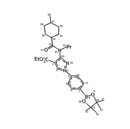 CCOC(=O)c1cn(-c2ccc(B3OC(C)(C)C(C)(C)O3)cc2)nc1N(C(=O)C1CCC(C)CC1)C(C)C